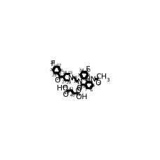 CC(=O)Nc1cccc(C(=O)N(CCN2CCC(C(=O)c3ccc(F)cc3)CC2)c2ccc(F)cc2)c1.O=C(O)/C=C/C(=O)O